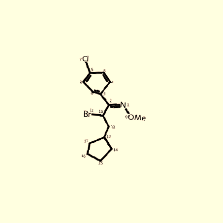 CON=C(c1ccc(Cl)cc1)C(Br)CC1CCCC1